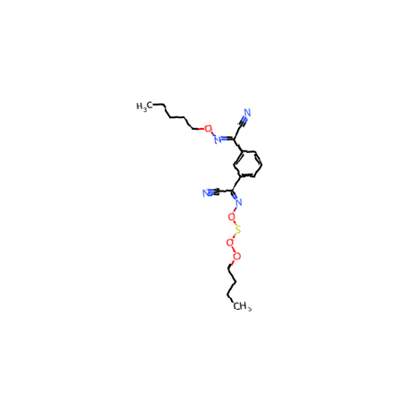 CCCCCON=C(C#N)c1cccc(C(C#N)=NOSOOCCCC)c1